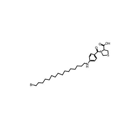 O=C(O)C1CSCN1C(=O)c1ccc(NCCCCCCCCCCCCCCCCBr)cc1